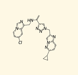 C=C(NCc1ncn2ccc(Cl)cc12)c1cn(Cc2cn3nc(C4CC4)ccc3n2)nn1